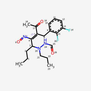 CCCC(/C(N=O)=C(\Cc1cccc(F)c1F)C(C)=O)N(CCC)NC=O